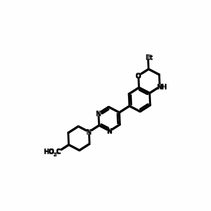 CCC1CNc2ccc(-c3cnc(N4CCC(C(=O)O)CC4)nc3)cc2O1